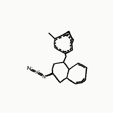 Cc1cccc(C2CC(N=[N+]=[N-])CC3C=CC=CC32)c1